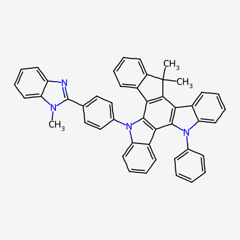 Cn1c(-c2ccc(-n3c4ccccc4c4c3c3c(c5c6ccccc6n(-c6ccccc6)c54)C(C)(C)c4ccccc4-3)cc2)nc2ccccc21